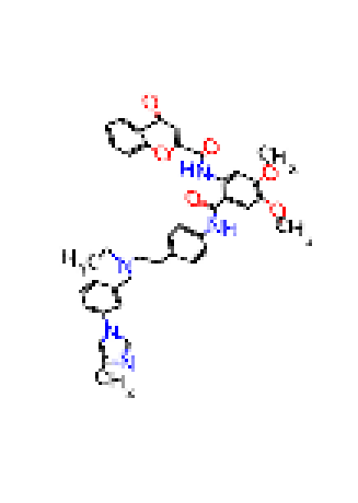 CCN(CCc1ccc(NC(=O)c2cc(OC)c(OC)cc2NC(=O)c2cc(=O)c3ccccc3o2)cc1)Cc1cccc(-n2cnc(C)c2)c1